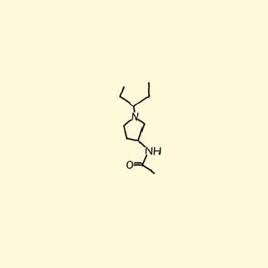 CCC(CC)N1CCC(NC(C)=O)C1